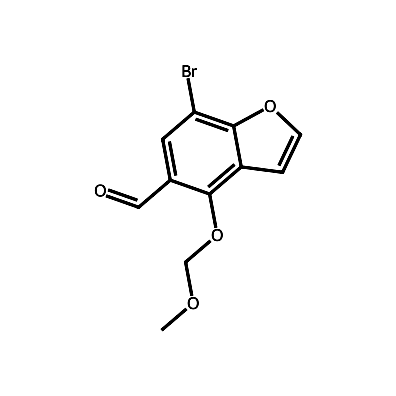 COCOc1c(C=O)cc(Br)c2occc12